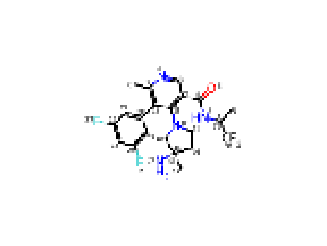 Cc1ncc(C(=O)N[C@@H](C)C(F)(F)F)c(N2CC[C@](C)(N)C2)c1-c1cc(F)cc(F)c1